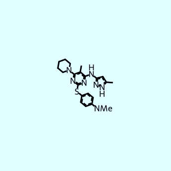 CNc1ccc(Sc2nc(Nc3cc(C)[nH]n3)c(C)c(N3CCCCC3)n2)cc1